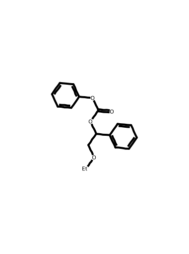 CCOCC(OC(=O)Oc1ccccc1)c1ccccc1